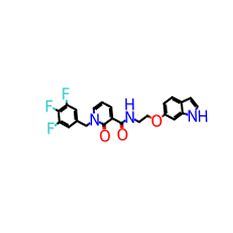 O=C(NCCOc1ccc2cc[nH]c2c1)c1cccn(Cc2cc(F)c(F)c(F)c2)c1=O